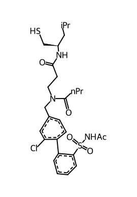 CCCC(=O)N(CCC(=O)N[C@@H](CS)CC(C)C)Cc1ccc(-c2ccccc2S(=O)(=O)NC(C)=O)c(Cl)c1